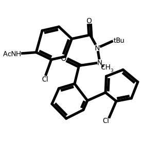 CC(=O)Nc1ccc(C(=O)N(N(C)C(=O)c2ccccc2-c2ccccc2Cl)C(C)(C)C)cc1Cl